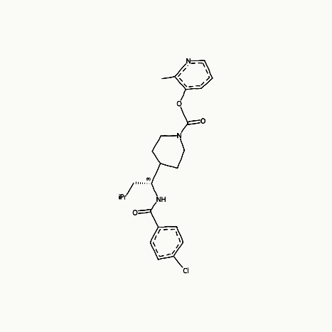 Cc1ncccc1OC(=O)N1CCC([C@@H](CC(C)C)NC(=O)c2ccc(Cl)cc2)CC1